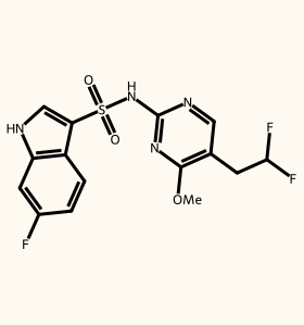 COc1nc(NS(=O)(=O)c2c[nH]c3cc(F)ccc23)ncc1CC(F)F